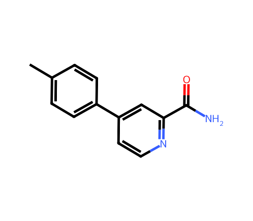 Cc1ccc(-c2ccnc(C(N)=O)c2)cc1